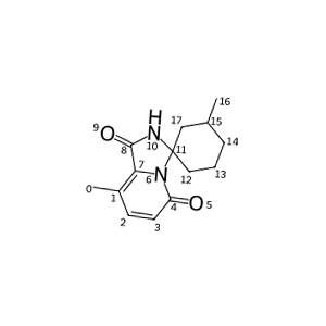 Cc1ccc(=O)n2c1C(=O)NC21CCCC(C)C1